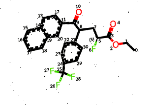 CCOC(=O)[C@@H](F)CC(C(=O)c1ccc2ccccc2c1)c1ccc(C(F)(F)F)cc1